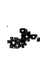 FC(F)(F)c1cc(N2CC3CC3(c3ccccc3)C2)nc(Cl)n1